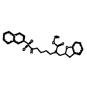 CC(C)(C)OC(=O)N(CCCCNS(=O)(=O)c1ccc2ccccc2c1)CC1Cc2ccccc2O1